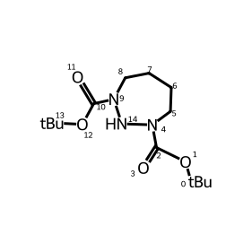 CC(C)(C)OC(=O)N1CCCCN(C(=O)OC(C)(C)C)N1